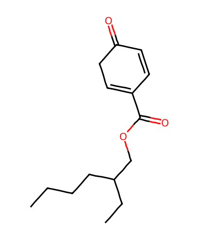 CCCCC(CC)COC(=O)C1=CCC(=O)C=C1